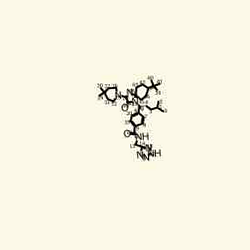 CC(C)CC[C@H](c1ccc(C(=O)NCc2nn[nH]n2)cc1)N1C(=O)C(N2CCC(C)(C)CC2)=NC12CCC(C(C)(C)C)CC2